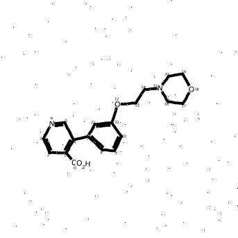 O=C(O)c1ccncc1-c1cccc(OCCN2CCOCC2)c1